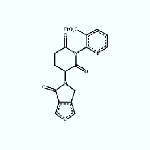 CCOC(=O)c1cccnc1N1C(=O)CCC(N2Cc3cscc3C2=O)C1=O